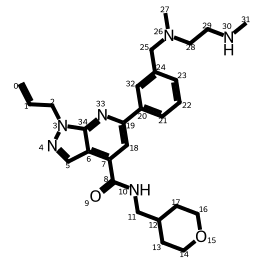 C=CCn1ncc2c(C(=O)NCC3CCOCC3)cc(-c3cccc(CN(C)CCNC)c3)nc21